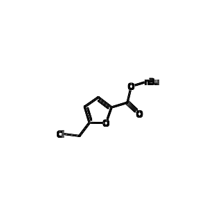 CCCCOC(=O)c1ccc(CCl)o1